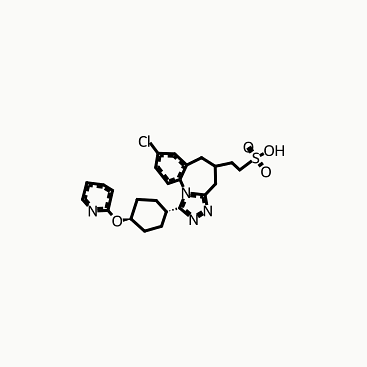 O=S(=O)(O)CCC1Cc2cc(Cl)ccc2-n2c(nnc2[C@H]2CC[C@H](Oc3ccccn3)CC2)C1